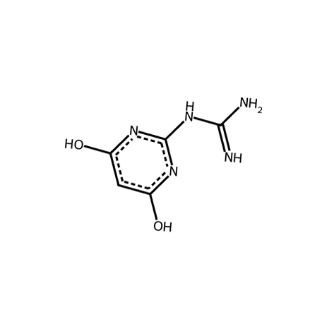 N=C(N)Nc1nc(O)cc(O)n1